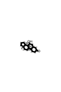 C[C@@]12CCC[C@H]1[C@@H]1C(O)CC3CC(=O)CC[C@]3(C)[C@@H]1CC2